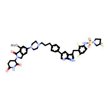 COc1cc(N2CCN(CCCc3ccc(-c4cnc5[nH]cc(Cc6c(F)ccc(NS(=O)(=O)N7CC[C@@H](F)C7)c6F)c5c4)cc3)CC2)cc2c1C(=O)N(C1CCC(=O)NC1=O)C2